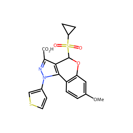 COc1ccc2c(c1)OC(S(=O)(=O)C1CC1)c1c(C(=O)O)nn(-c3ccsc3)c1-2